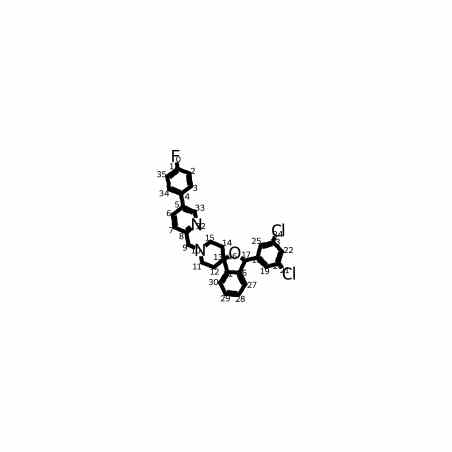 Fc1ccc(-c2ccc(CN3CCC4(CC3)OC(c3cc(Cl)cc(Cl)c3)c3ccccc34)nc2)cc1